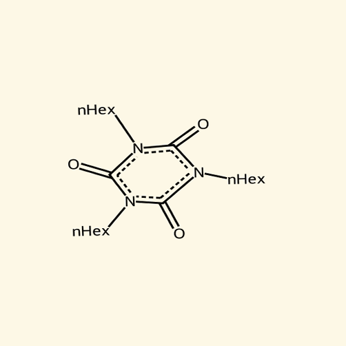 CCCCCCn1c(=O)n(CCCCCC)c(=O)n(CCCCCC)c1=O